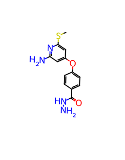 CSc1cc(Oc2ccc(C(=O)NN)cc2)cc(N)n1